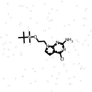 CC(C)(C)[Si](C)(C)OCCn1ccc2c(Cl)nc(N)nc21